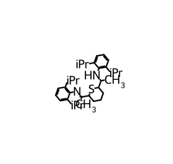 C/C(=N\c1c(C(C)C)cccc1C(C)C)C1CCCC(C(C)Nc2c(C(C)C)cccc2C(C)C)S1